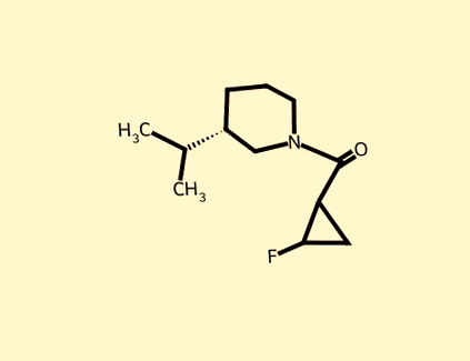 CC(C)[C@@H]1CCCN(C(=O)C2CC2F)C1